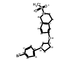 CS(=O)(=O)N1CCc2cc(OC3CCN(c4ccc(Br)cc4)C3)ccc2C1